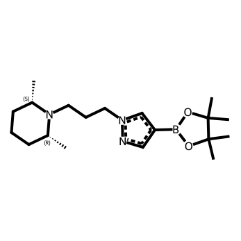 C[C@@H]1CCC[C@H](C)N1CCCn1cc(B2OC(C)(C)C(C)(C)O2)cn1